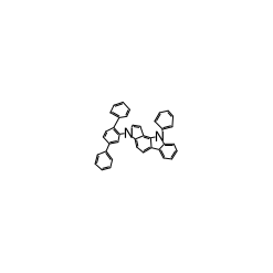 c1ccc(-c2ccc(-c3ccccc3)c(-n3ccc4c3ccc3c5ccccc5n(-c5ccccc5)c34)c2)cc1